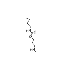 CCCCNC(=O)OCCCNC